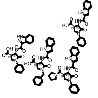 O=C(N[C@@H]1C(=O)N(c2ccccc2)C[C@H]1C(=O)N1CCCC1)c1cc2ccccc2[nH]1.O=C(N[C@H]1C(=O)N(Cc2ccccc2)C[C@H]1C(=O)O)c1cc2ccccc2[nH]1.O=C(N[C@H]1C(=O)N(c2ccccc2)C[C@H]1C(=O)O)c1cc2ccccc2[nH]1.O=C(N[C@H]1C(=O)N(c2ccccc2)C[C@H]1C(=O)O)c1n[nH]c2ccccc12